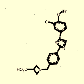 CC(C)Oc1ccc(-c2cnc(-c3ccc(CN4CC(C(=O)O)C4)cc3)s2)cc1Cl